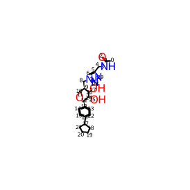 CC(=O)NCc1cn(C[C@@H]2CO[C@H](c3ccc(C4CCCC4)cc3)[C@H](O)[C@@H]2O)nn1